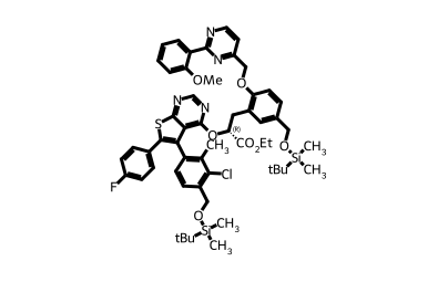 CCOC(=O)[C@@H](Cc1cc(CO[Si](C)(C)C(C)(C)C)ccc1OCc1ccnc(-c2ccccc2OC)n1)Oc1ncnc2sc(-c3ccc(F)cc3)c(-c3ccc(CO[Si](C)(C)C(C)(C)C)c(Cl)c3C)c12